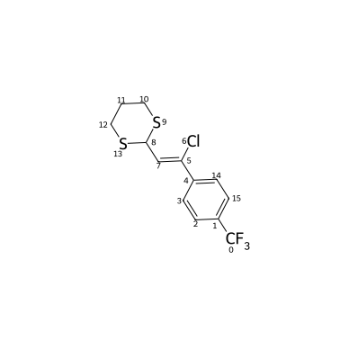 FC(F)(F)c1ccc(/C(Cl)=C/C2SCCCS2)cc1